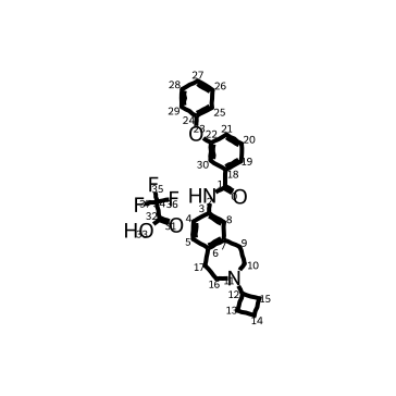 O=C(Nc1ccc2c(c1)CCN(C1CCC1)CC2)c1cccc(Oc2ccccc2)c1.O=C(O)C(F)(F)F